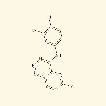 Clc1ccc2nnnc(Nc3ccc(Cl)c(Cl)c3)c2n1